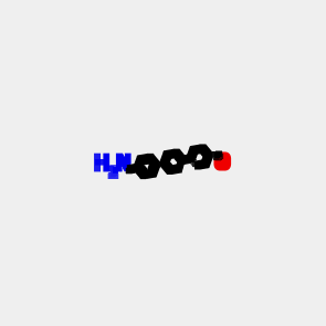 NCc1ccc([C@H]2CC[C@H]([C@H]3CC[C@@H](C=O)CC3)CC2)cc1